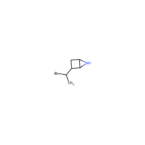 CCC(C)C(C)C1CC2NC21